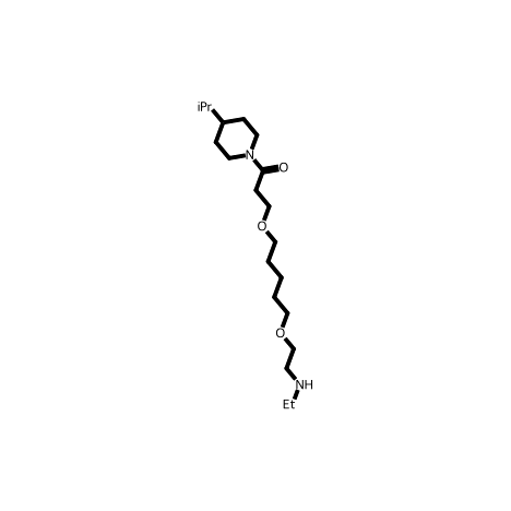 CCNCCOCCCCCOCCC(=O)N1CCC(C(C)C)CC1